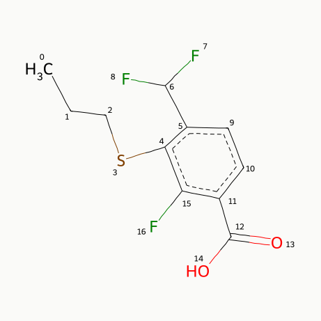 CCCSc1c(C(F)F)ccc(C(=O)O)c1F